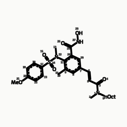 CCCCCCCCN(C)C(=O)C=Cc1cc(C)c(N(C)S(=O)(=O)c2ccc(OC)cc2)c(C(=O)NO)c1